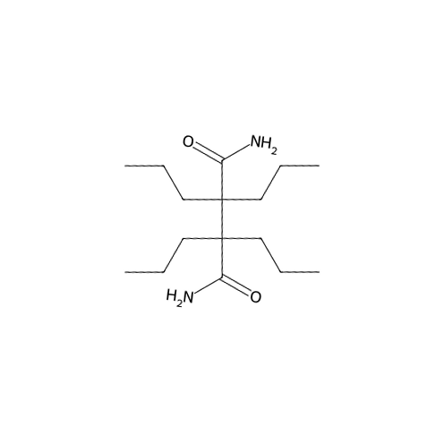 CCCC(CCC)(C(N)=O)C(CCC)(CCC)C(N)=O